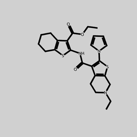 CCOC(=O)c1c(NC(=O)c2c(-n3cccc3)sc3c2CCN(CC)C3)sc2c1CCCC2